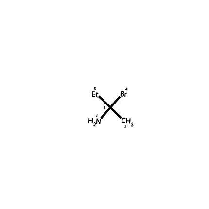 CCC(C)(N)Br